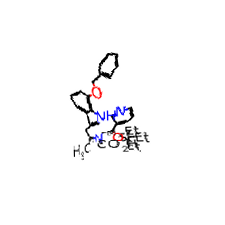 CC[Si](CC)(CC)O[C@@H](CN(C(=O)O)[C@H](C)Cc1c[nH]c2c(OCc3ccccc3)cccc12)c1cccnc1